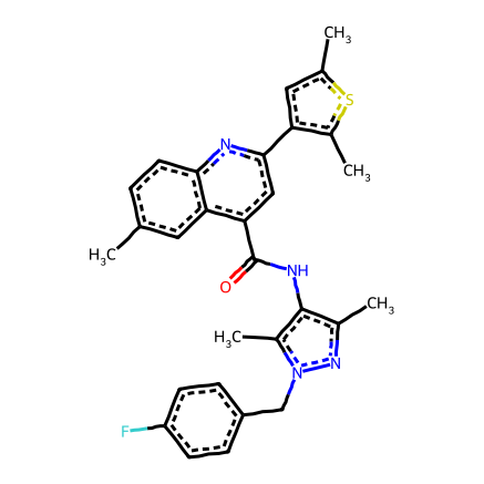 Cc1ccc2nc(-c3cc(C)sc3C)cc(C(=O)Nc3c(C)nn(Cc4ccc(F)cc4)c3C)c2c1